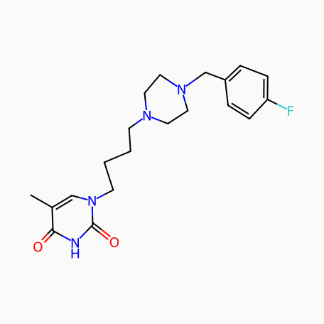 Cc1cn(CCCCN2CCN(Cc3ccc(F)cc3)CC2)c(=O)[nH]c1=O